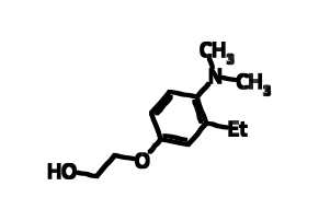 CCc1cc(OCCO)ccc1N(C)C